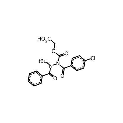 CC(C)(C)N(C(=O)c1ccccc1)N(C(=O)OCC(=O)O)C(=O)c1ccc(Cl)cc1